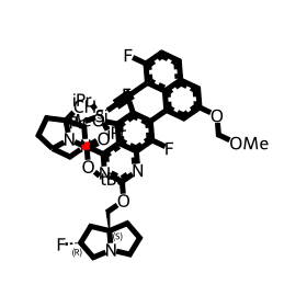 COCOc1cc(-c2c(F)c(OC)c3c(N4CC5CCC(C)(C4)N5C(=O)OC(C)(C)C)nc(OC[C@@]45CCCN4C[C@H](F)C5)nc3c2F)c2c(C#C[Si](C(C)C)(C(C)C)C(C)C)c(F)ccc2c1